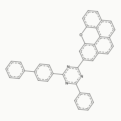 c1ccc(-c2ccc(-c3nc(-c4ccccc4)nc(-c4cc5c6c(ccc7ccc8cccc(c8c76)O5)c4)n3)cc2)cc1